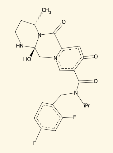 CC(C)N(Cc1ccc(F)cc1F)C(=O)c1cn2c(cc1=O)C(=O)N1[C@@H](C)CCN[C@@]1(O)C2